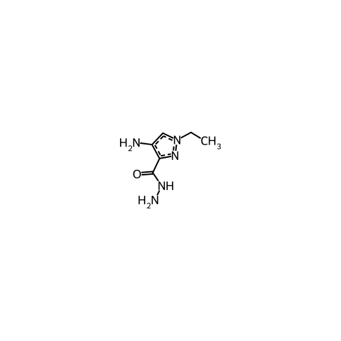 CCn1cc(N)c(C(=O)NN)n1